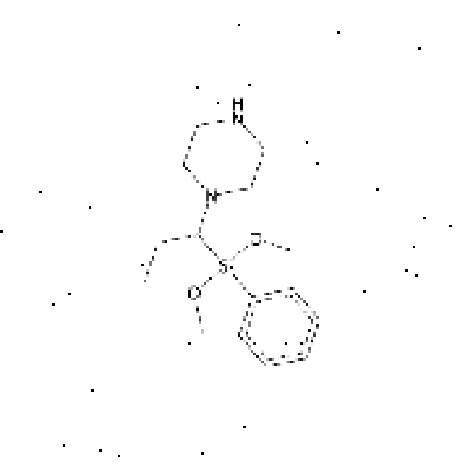 CCC(N1CCNCC1)[Si](OC)(OC)c1ccccc1